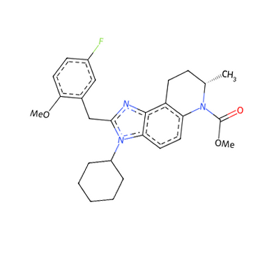 COC(=O)N1c2ccc3c(nc(Cc4cc(F)ccc4OC)n3C3CCCCC3)c2CC[C@@H]1C